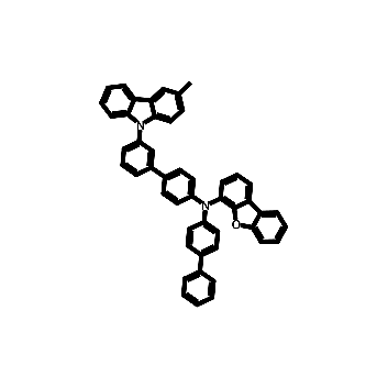 Cc1ccc2c(c1)c1ccccc1n2-c1cccc(-c2ccc(N(c3ccc(-c4ccccc4)cc3)c3cccc4c3oc3ccccc34)cc2)c1